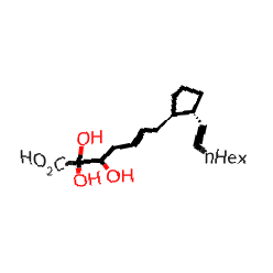 CCCCCC/C=C/[C@H]1CCC[C@@H]1C/C=C/CC(O)C(O)(O)C(=O)O